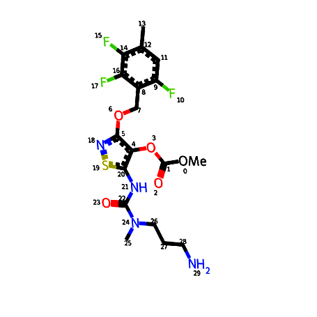 COC(=O)Oc1c(OCc2c(F)cc(C)c(F)c2F)nsc1NC(=O)N(C)CCCN